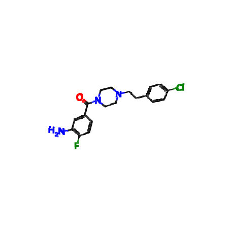 Nc1cc(C(=O)N2CCN(CCc3ccc(Cl)cc3)CC2)ccc1F